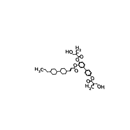 C=C(CO)C(=O)Oc1ccc(-c2ccc(OC(=O)C(=C)CO)c(OC(=O)/C=C/C3CCC(C4CCC(CCC)CC4)CC3)c2)cc1